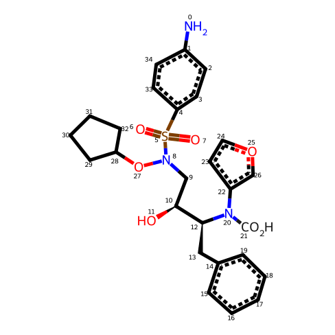 Nc1ccc(S(=O)(=O)N(C[C@H](O)[C@H](Cc2ccccc2)N(C(=O)O)c2ccoc2)OC2CCCC2)cc1